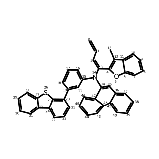 C=C/C=C(\c1oc2ccccc2c1C)N(c1cccc(-c2cccc3c2sc2ccccc23)c1)c1cc2ccccc2c2ccccc12